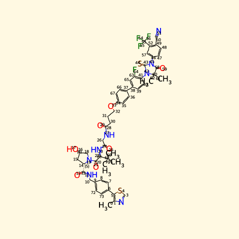 Cc1ncsc1-c1ccc(CNC(=O)[C@@H]2C[C@@H](O)CN2C(=O)[C@@H](NC(=O)CNC(=O)CCCOc2ccc(-c3ccc(N4C(=S)N(c5ccc(C#N)c(C(F)(F)F)c5)C(=O)C4(C)C)c(F)c3)cc2)C(C)(C)C)cc1